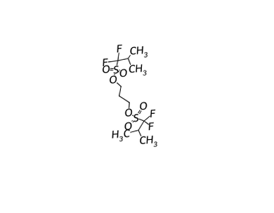 CC(C)C(F)(F)S(=O)(=O)OCCCOS(=O)(=O)C(F)(F)C(C)C